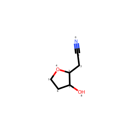 N#CCC1OCCC1O